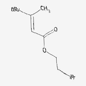 C/C(=C\C(=O)OCCC(C)C)C(C)(C)C